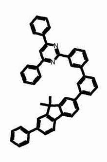 CC1(C)c2cc(-c3ccccc3)ccc2-c2ccc(-c3cccc(-c4cccc(-c5nc(-c6ccccc6)cc(-c6ccccc6)n5)c4)c3)cc21